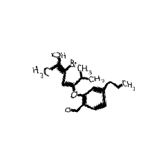 CCCc1ccc(C=O)c(O/C(=C/C(Br)=C(\C)O)C(C)C)c1